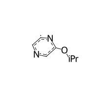 CC(C)Oc1cnc[c]n1